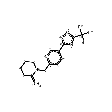 C=C1CCCCN1Cc1ccc(-c2noc(C(F)(F)F)n2)cn1